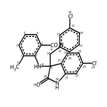 Cc1cccc(C(=O)O)c1NC1(Cc2cccc(Cl)c2)C(=O)Nc2cc(Cl)ccc21